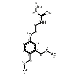 CC(=O)SCc1ccc(OCCNC(=O)OC(C)(C)C)cc1CSC(C)=O